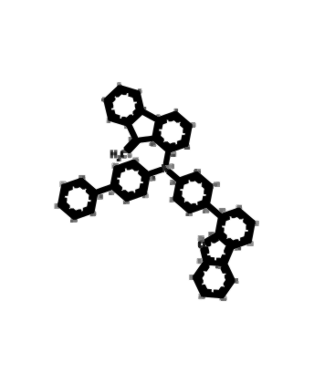 C=C1c2ccccc2-c2cccc(N(c3ccc(-c4ccccc4)cc3)c3ccc(-c4cccc5c4oc4ccccc45)cc3)c21